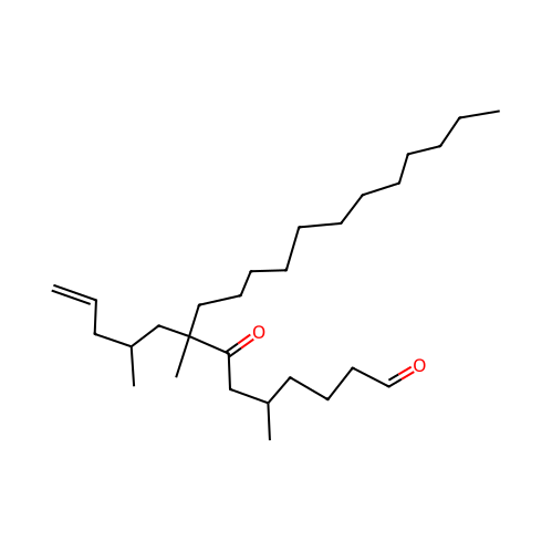 C=CCC(C)CC(C)(CCCCCCCCCCCC)C(=O)CC(C)CCCC=O